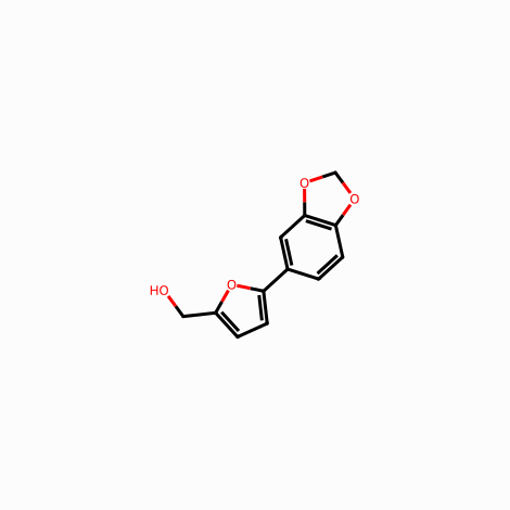 OCc1ccc(-c2ccc3c(c2)OCO3)o1